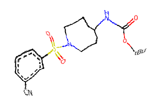 CC(C)(C)OC(=O)NC1CCN(S(=O)(=O)c2cccc(C#N)c2)CC1